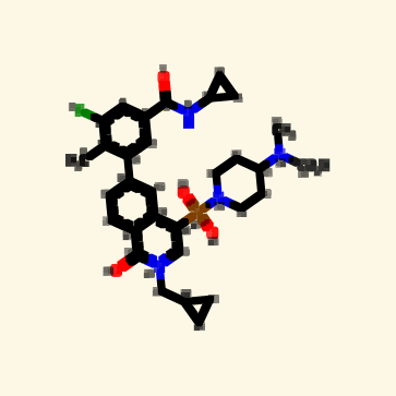 Cc1c(F)cc(C(=O)NC2CC2)cc1-c1ccc2c(=O)n(CC3CC3)cc(S(=O)(=O)N3CCC(N(C)C(=O)O)CC3)c2c1